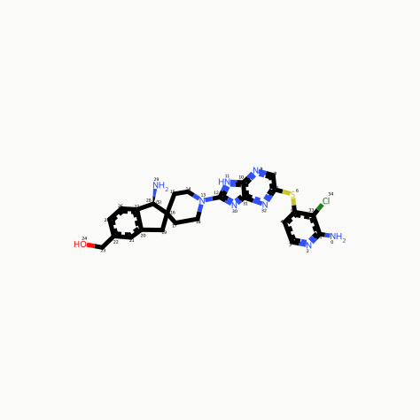 Nc1nccc(Sc2cnc3[nH]c(N4CCC5(CC4)Cc4cc(CO)ccc4[C@H]5N)nc3n2)c1Cl